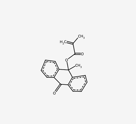 C=C(C)C(=O)OC1(C)c2ccccc2C(=O)c2ccccc21